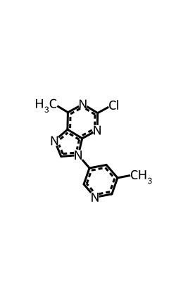 Cc1cncc(-n2cnc3c(C)nc(Cl)nc32)c1